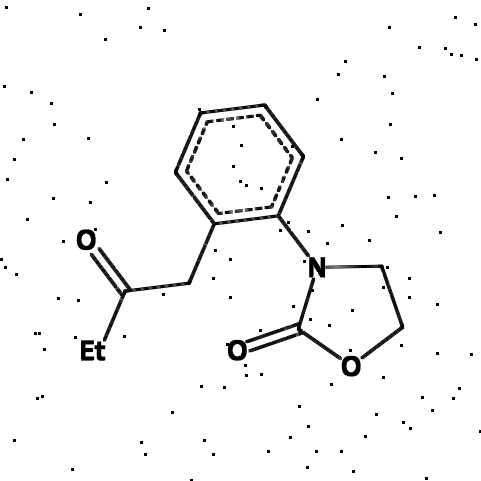 CCC(=O)Cc1ccccc1N1CCOC1=O